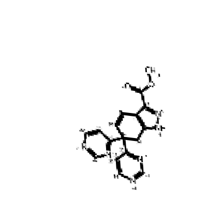 COC(=O)c1n[nH]c2c1C=CC(c1ccncn1)(c1ccncn1)C2